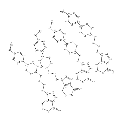 CCOc1ccc(N2CCN(CCCCn3ccc4c3CCCC4=O)CC2)cc1.CCOc1ccc(N2CCN(CCCn3ccc4c3CCCC4=O)CC2)cc1.CCOc1ccc(N2CCN(CCn3ccc4c3CCCC4=O)CC2)cc1.COc1ccc(N2CCN(CCCCn3ccc4c3CCCC4=O)CC2)cc1